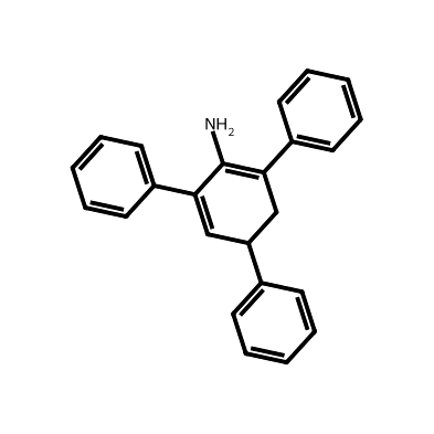 NC1=C(c2ccccc2)CC(c2ccccc2)C=C1c1ccccc1